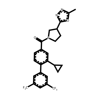 Cc1nnc(C2CCN(C(=O)c3ccc(-c4cc(C(F)(F)F)cc(C(F)(F)F)c4)c(C4CC4)c3)C2)o1